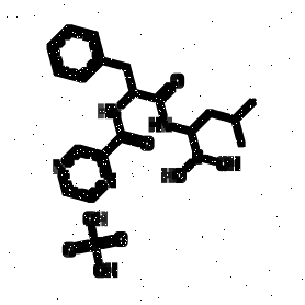 CC(C)CC(NC(=O)C(Cc1ccccc1)NC(=O)c1cnccn1)B(O)O.O=S(=O)(O)O